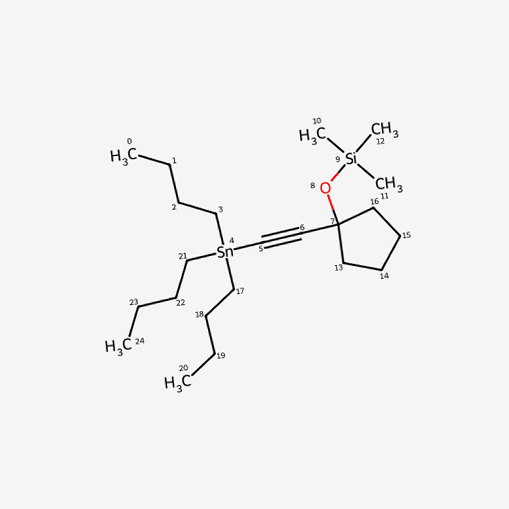 CCC[CH2][Sn]([C]#CC1(O[Si](C)(C)C)CCCC1)([CH2]CCC)[CH2]CCC